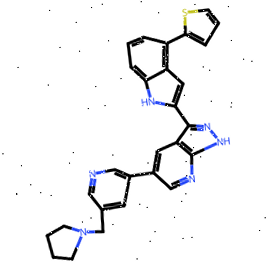 c1csc(-c2cccc3[nH]c(-c4n[nH]c5ncc(-c6cncc(CN7CCCC7)c6)cc45)cc23)c1